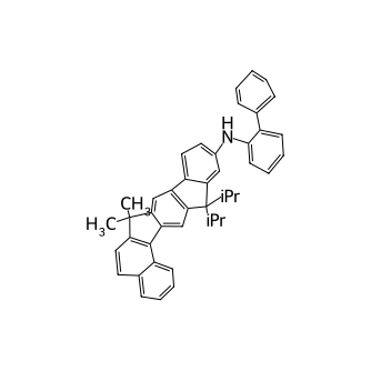 CC(C)C1(C(C)C)c2cc(Nc3ccccc3-c3ccccc3)ccc2-c2cc3c(cc21)-c1c(ccc2ccccc12)C3(C)C